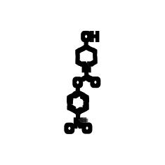 O=C(Oc1ccc([N+](=O)[O-])cc1)N1CCC(O)CC1